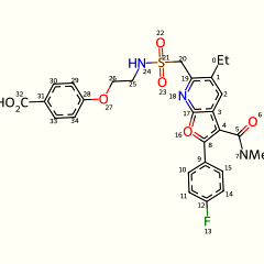 CCc1cc2c(C(=O)NC)c(-c3ccc(F)cc3)oc2nc1CS(=O)(=O)NCCOc1ccc(C(=O)O)cc1